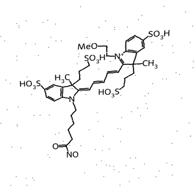 COCC[N+]1=C(/C=C/C=C/C=C2/N(CCCCCC(=O)N=O)c3ccc(S(=O)(=O)O)cc3C2(C)CCCS(=O)(=O)O)C(C)(CCCS(=O)(=O)O)c2cc(S(=O)(=O)O)ccc21